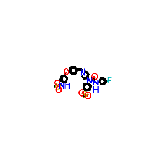 CS(=O)(=O)Nc1ccc(Oc2ccc(CN3CCC(N(C(=O)Nc4ccc(F)cc4)c4ccc(S(C)(=O)=O)cc4)CC3)cc2)cc1